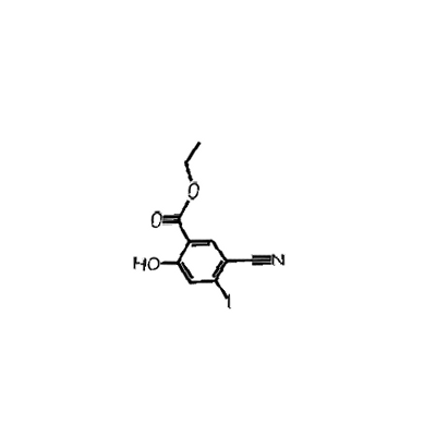 CCOC(=O)c1cc(C#N)c(I)cc1O